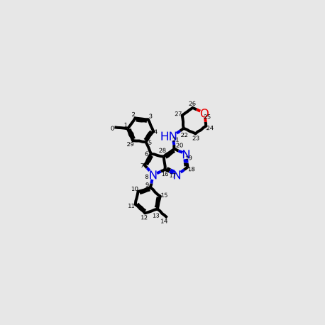 Cc1cccc(-c2cn(-c3cccc(C)c3)c3ncnc(NC4CCOCC4)c23)c1